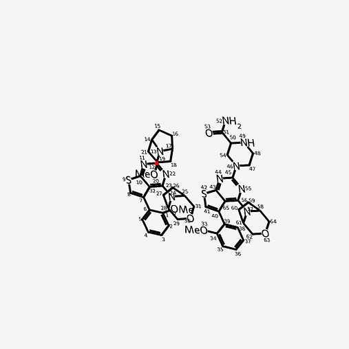 COc1ccccc1-c1csc2nc(N3C4CCC3CC(OC)C4)nc(N3C4CCC3COC4)c12.COc1ccccc1-c1csc2nc(N3CCNC(C(N)=O)C3)nc(N3C4CCC3COC4)c12